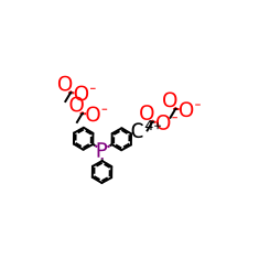 CC(=O)[O-].CC(=O)[O-].CC(=O)[O-].CC(=O)[O-].[C+4].c1ccc(P(c2ccccc2)c2ccccc2)cc1